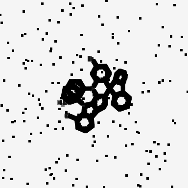 Cc1cccc(N2c3cc(Br)ccc3C3(c4ccccc4-c4ccccc43)c3ccc4c5cccc(Cl)c5n(-c5ccccc5)c4c32)c1